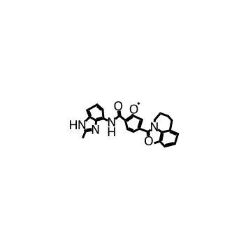 COc1cc(C(=O)N2CCCCc3cccc(C)c32)ccc1C(=O)Nc1cccc2[nH]c(C)nc12